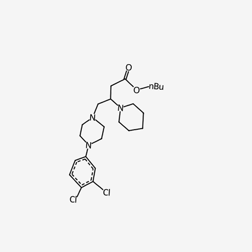 CCCCOC(=O)CC(CN1CCN(c2ccc(Cl)c(Cl)c2)CC1)N1CCCCC1